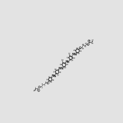 C=CC(=O)OCCCCOc1ccc(N=Nc2ccc(N=Nc3ccc(N=Nc4ccc(N=Nc5ccc(OCCCCOC(=O)C=C)cc5)c(C)c4)c(C)c3)cc2)cc1